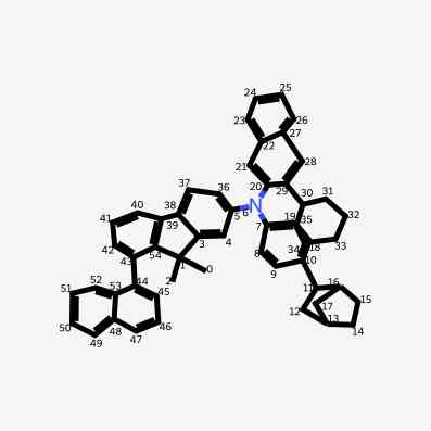 CC1(C)c2cc(N(c3ccc(C4CC5CCC4C5)cc3)c3cc4ccccc4cc3C3CCCCC3)ccc2-c2cccc(-c3cccc4ccccc34)c21